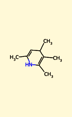 CC1=CC(C)C(C)=C(C)N1